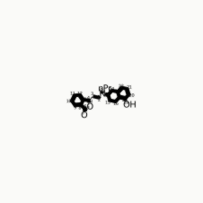 CCCN(CC[C@@H]1OC(=O)c2ccccc21)C1CCc2c(O)cccc2C1